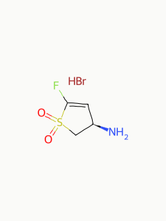 Br.N[C@@H]1C=C(F)S(=O)(=O)C1